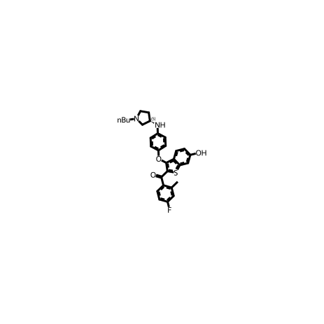 CCCCN1CC[C@H](Nc2ccc(Oc3c(C(=O)c4ccc(F)cc4C)sc4cc(O)ccc34)cc2)C1